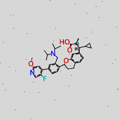 COc1cc(-c2ccc(C3CCc4ccc([C@H](C5CC5)[C@H](C)C(=O)O)cc4O3)c(CN(C(C)C)C(C)C)c2)c(F)cn1